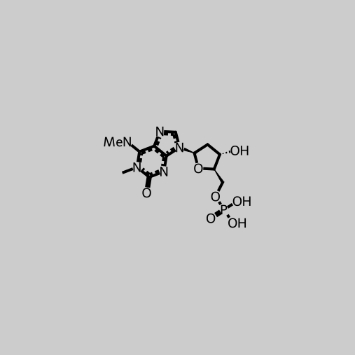 CNc1c2ncn([C@H]3C[C@H](O)[C@@H](COP(=O)(O)O)O3)c2nc(=O)n1C